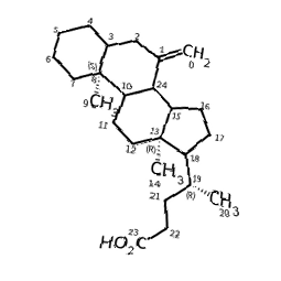 C=C1CC2CCCC[C@]2(C)C2CC[C@@]3(C)C(CCC3[C@H](C)CCC(=O)O)C12